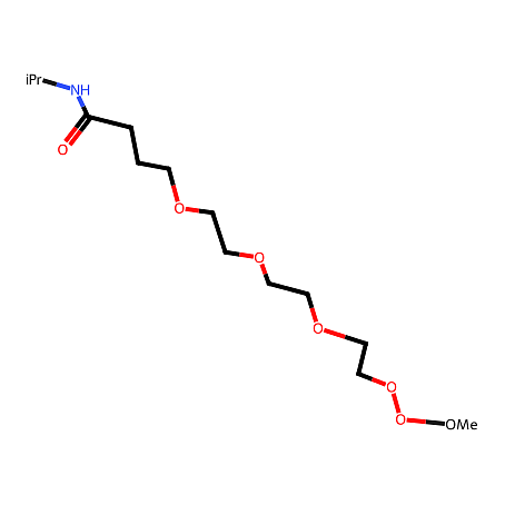 COOOCCOCCOCCOCCCC(=O)NC(C)C